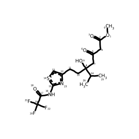 COC(=O)CC(=O)CC(O)(CCc1csc(NC(=O)C(F)(F)F)n1)C(C)C